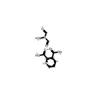 NN(C=O)C=O.O=C(O)c1cccnc1C(=O)O